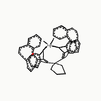 [CH3][Hf]1([CH3])[CH]2C(c3cccc4ccc5ccccc5c34)=C(c3ccccc32)C2(CCCC2)C2=C(c3cccc4ccc5ccccc5c34)[CH]1c1ccccc12